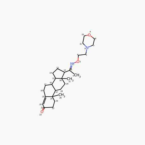 C/C(=N\OCCN1CCOCC1)C1CCC2C3CCC4=CC(=O)CCC4(C)C3CCC12C